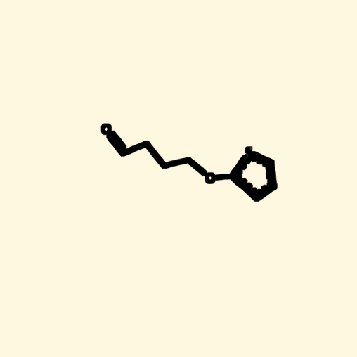 O=CCCCOc1cccs1